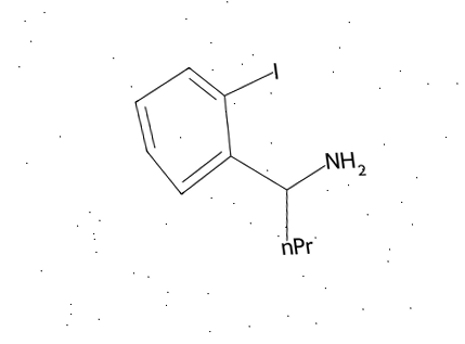 CCCC(N)c1ccccc1I